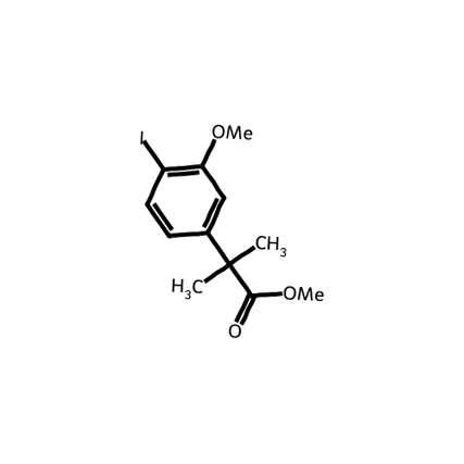 COC(=O)C(C)(C)c1ccc(I)c(OC)c1